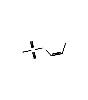 C/C=C\NS(C)(=O)=O